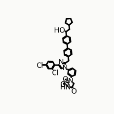 O=C1CN(c2cccc(-n3cc(-c4ccc(Cl)cc4Cl)nc3Cc3ccc(-c4ccc(C(O)CC5CCCC5)cc4)cc3)c2)S(=O)(=O)N1